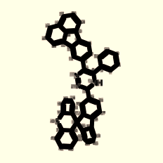 c1ccc(C2=C(c3ccc4c(c3)-c3cccc5cccc-4c35)N=NC(c3ccc4c(c3)C3(c5ccccc5Sc5ccccc53)c3ccccc3-4)N2)cc1